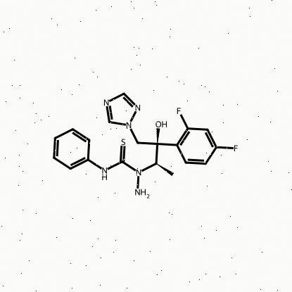 C[C@@H](N(N)C(=S)Nc1ccccc1)[C@](O)(Cn1cncn1)c1ccc(F)cc1F